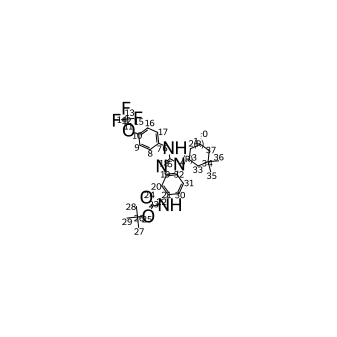 C[C@H]1C[C@@H](n2c(Nc3ccc(OC(F)(F)F)cc3)nc3cc(NC(=O)OC(C)(C)C)ccc32)CC(C)(C)C1